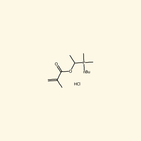 C=C(C)C(=O)OC(C)[P](C)(C)CCCC.Cl